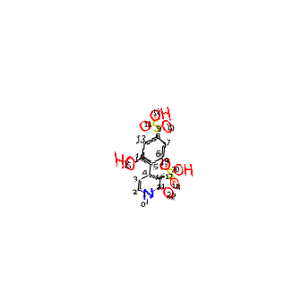 Cn1ccc(-c2ccc(S(=O)(=O)O)cc2O)c(S(=O)(=O)O)c1=O